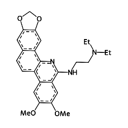 CCN(CC)CCNc1nc2c3cc4c(cc3ccc2c2cc(OC)c(OC)cc12)OCO4